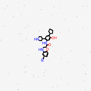 N#Cc1ccc2c(c1)NCC(C(=O)Nc1cc(O)c(C3CCCC3)cc1C1CCNCC1)O2